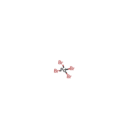 [Br][Pd]([Br])([Br])[Br]